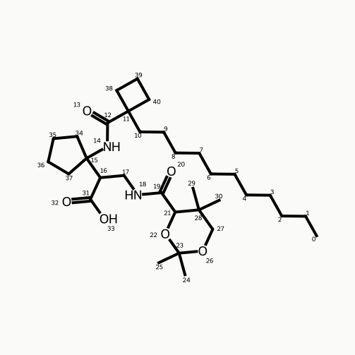 CCCCCCCCCCCC1(C(=O)NC2(C(CNC(=O)C3OC(C)(C)OCC3(C)C)C(=O)O)CCCC2)CCC1